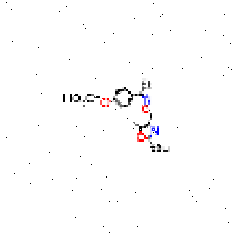 CC/C(=N/OCc1nc(C(C)(C)C)oc1C)c1ccc(OCC(=O)O)cc1